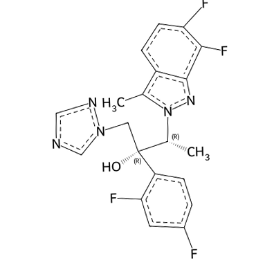 Cc1c2ccc(F)c(F)c2nn1[C@H](C)[C@](O)(Cn1cncn1)c1ccc(F)cc1F